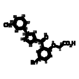 O=C(O)COc1ccc(Br)cc1C(=O)c1cnn(-c2cccc(Cl)c2)c1